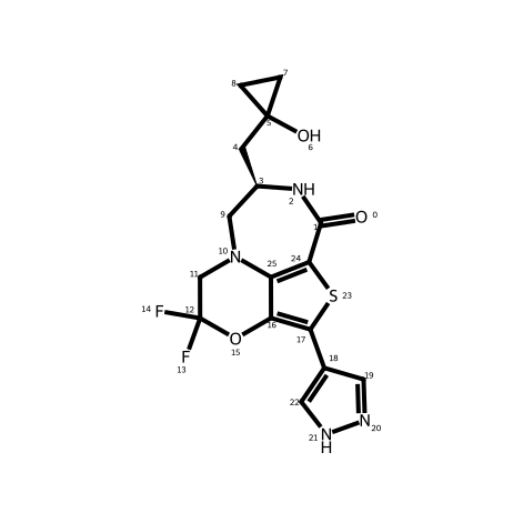 O=C1N[C@H](CC2(O)CC2)CN2CC(F)(F)Oc3c(-c4cn[nH]c4)sc1c32